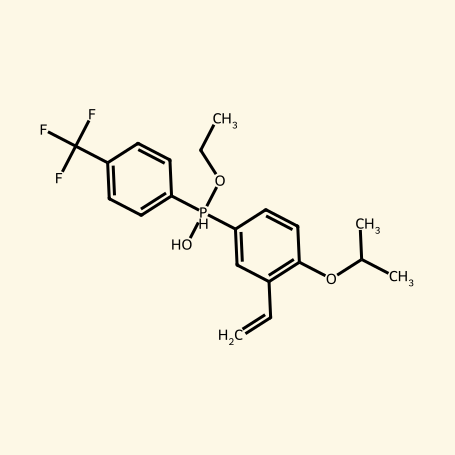 C=Cc1cc([PH](O)(OCC)c2ccc(C(F)(F)F)cc2)ccc1OC(C)C